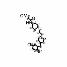 COCC(=O)N[C@H]1CC[C@H](CCCN2CCC(Cc3cc(Cl)ccc3Br)CC2)CC1